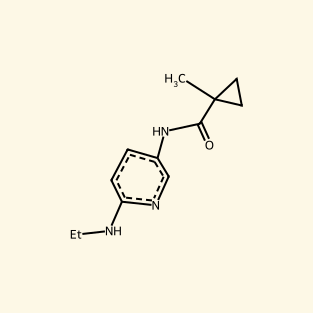 CCNc1ccc(NC(=O)C2(C)CC2)cn1